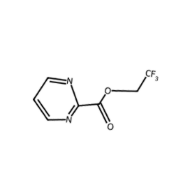 O=C(OCC(F)(F)F)c1ncccn1